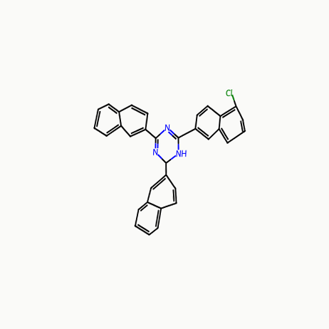 Clc1cccc2cc(C3=NC(c4ccc5ccccc5c4)=NC(c4ccc5ccccc5c4)N3)ccc12